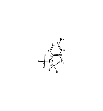 CC(C)(C)P(c1ccc(F)cc1F)C(C)(C)C